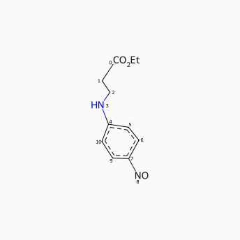 CCOC(=O)CCNc1ccc(N=O)cc1